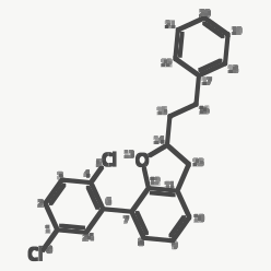 Clc1ccc(Cl)c(-c2cccc3c2OC(CCc2ccccc2)C3)c1